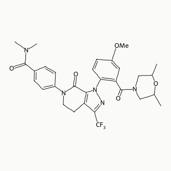 COc1ccc(-n2nc(C(F)(F)F)c3c2C(=O)N(c2ccc(C(=O)N(C)C)cc2)CC3)c(C(=O)N2CC(C)OC(C)C2)c1